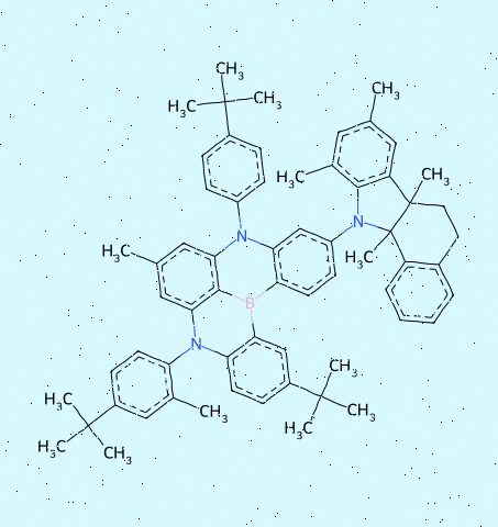 Cc1cc2c3c(c1)N(c1ccc(C(C)(C)C)cc1C)c1ccc(C(C)(C)C)cc1B3c1ccc(N3c4c(C)cc(C)cc4C4(C)CCc5ccccc5C34C)cc1N2c1ccc(C(C)(C)C)cc1